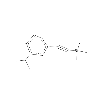 CC(C)c1[c]ccc(C#C[Si](C)(C)C)c1